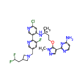 C[C@@H](CCOc1c(-c2nccc(N)n2)cnn1C)Nc1cc(Cl)ncc1-c1ncc(CN2CC(CC(F)F)C2)cc1F